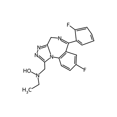 CCN(O)Cc1nnc2n1-c1ccc(F)cc1C(c1ccccc1F)=NC2